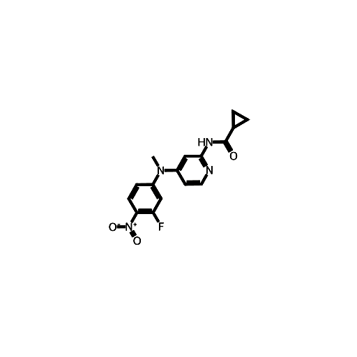 CN(c1ccnc(NC(=O)C2CC2)c1)c1ccc([N+](=O)[O-])c(F)c1